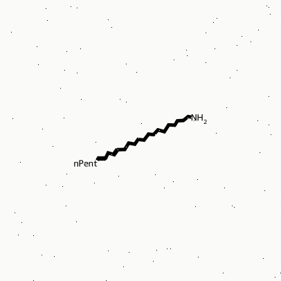 CCCCC/C=C/C/C=C/CCCCCCCCCCCCCCN